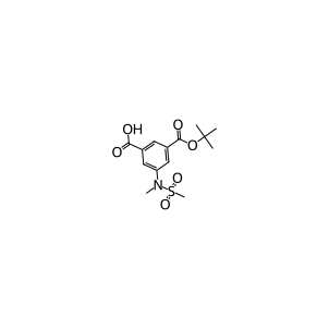 CN(c1cc(C(=O)O)cc(C(=O)OC(C)(C)C)c1)S(C)(=O)=O